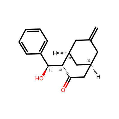 C=C1C[C@H]2CC(=O)[C@H]([C@@H](O)c3ccccc3)[C@@H](C1)C2